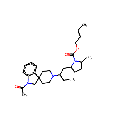 CCCCOC(=O)N1C(C)CCC1CC(CC)N1CCC2(CC1)CN(C(C)=O)c1ccccc12